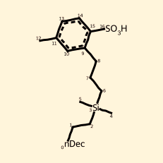 CCCCCCCCCCCC[Si](C)(C)CCCc1cc(C)ccc1S(=O)(=O)O